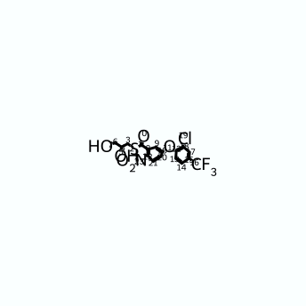 O=C(SCC(O)CO)c1cc(Oc2ccc(C(F)(F)F)cc2Cl)ccc1[N+](=O)[O-]